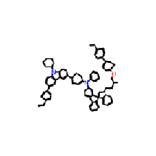 C=Cc1ccc(C2=CC=C(OCC(C)CCCCC3(C4=CC=CCC4)C4=CC(N(C5=CCC(C6=CC7c8cc(-c9ccc(C=C)cc9)ccc8N(C8CCCCC8)C7CC6)CC5)c5ccccc5)CC=C4c4ccccc43)CC2)cc1